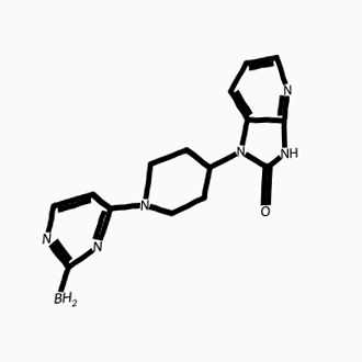 Bc1nccc(N2CCC(n3c(=O)[nH]c4ncccc43)CC2)n1